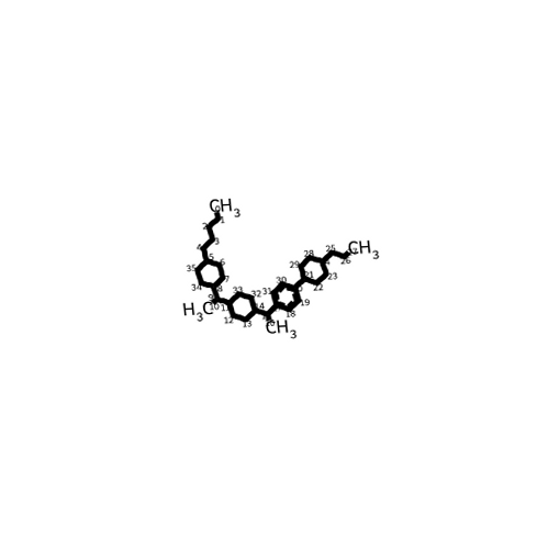 CCCCCC1CCC(C(C)C2CCC(C(C)c3ccc(C4CCC(CCC)CC4)cc3)CC2)CC1